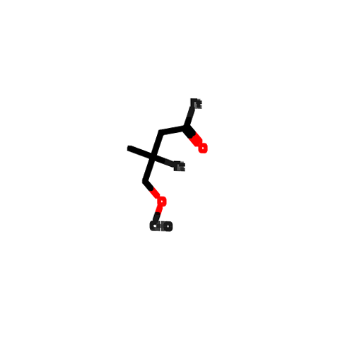 [CH2-][CH+]C(=O)CC(C)(CC)COC=O